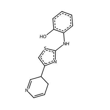 Oc1ccccc1Nc1nc(C2C=NC=CC2)cs1